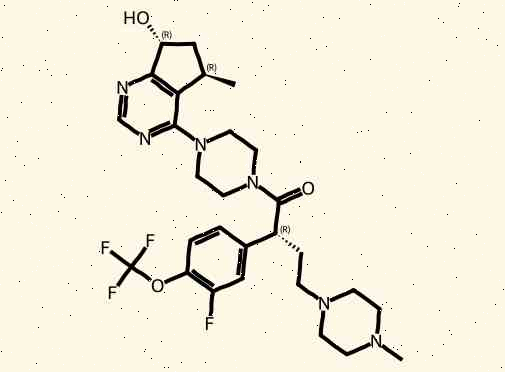 C[C@@H]1C[C@@H](O)c2ncnc(N3CCN(C(=O)[C@H](CCN4CCN(C)CC4)c4ccc(OC(F)(F)F)c(F)c4)CC3)c21